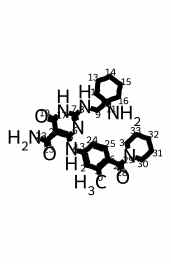 Cc1cc(Nc2nc(NCC3(N)CCCCC3)[nH]c(=O)c2C(N)=O)ccc1C(=O)N1CCCCC1